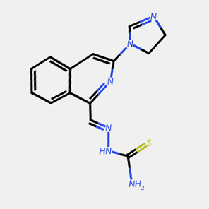 NC(=S)N/N=C/c1nc(N2C=NCC2)cc2ccccc12